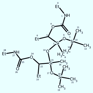 CCNC(=O)OC(CC)[Si](C)(O[Si](C)(C)C)O[Si](C)(O[Si](C)(C)C)C(CC)OC(=O)NCC